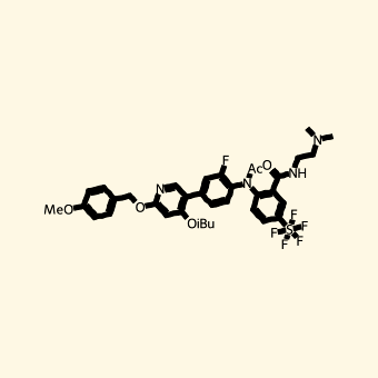 COc1ccc(COc2cc(OCC(C)C)c(-c3ccc(N(C(C)=O)c4ccc(S(F)(F)(F)(F)F)cc4C(=O)NCCN(C)C)c(F)c3)cn2)cc1